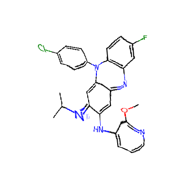 COc1ncccc1Nc1cc2nc3cc(F)ccc3n(-c3ccc(Cl)cc3)c-2c/c1=N\C(C)C